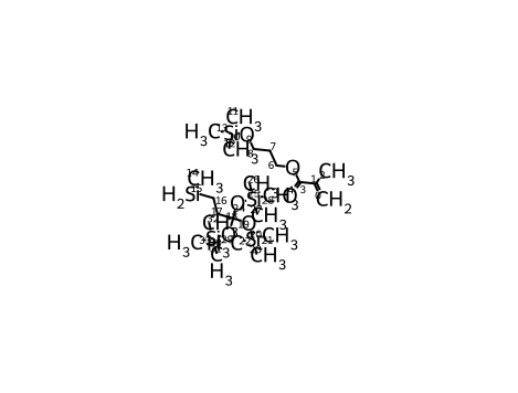 C=C(C)C(=O)OCCCO[Si](C)(C)C.C[SiH2]CCC(O[Si](C)(C)C)(O[Si](C)(C)C)O[Si](C)(C)C